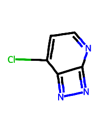 Clc1ccnc2c1=NN=2